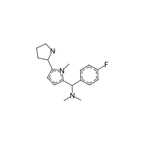 CN(C)C(c1ccc(F)cc1)c1ccc(C2CCC[N]2)n1C